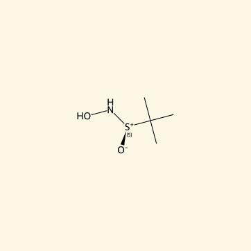 CC(C)(C)[S@@+]([O-])NO